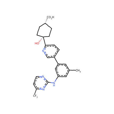 Cc1cc(Nc2nccc(C(F)(F)F)n2)cc(-c2ccc([C@]3(O)CC[C@@H](C(=O)O)CC3)nc2)c1